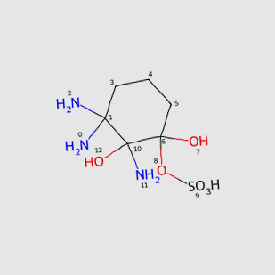 NC1(N)CCCC(O)(OS(=O)(=O)O)C1(N)O